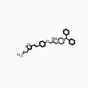 COCc1cc(C=Cc2ccc(OCC(O)CN3CCN(C(c4ccccc4)c4ccccc4)CC3)cc2)on1